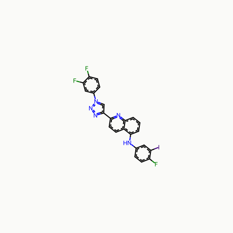 Fc1ccc(-n2cc(-c3ccc4c(Nc5ccc(F)c(I)c5)cccc4n3)nn2)cc1F